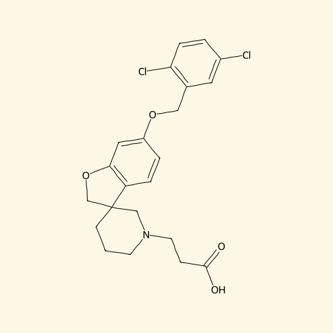 O=C(O)CCN1CCCC2(COc3cc(OCc4cc(Cl)ccc4Cl)ccc32)C1